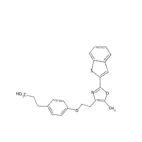 Cc1oc(-c2cc3ccccc3s2)nc1CCOc1ccc(CCC(=O)O)cc1